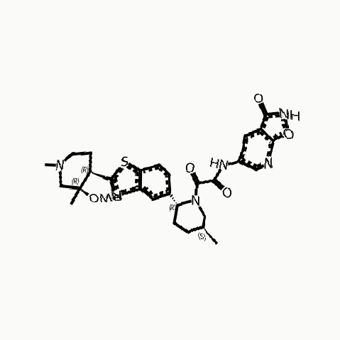 CO[C@@]1(C)CN(C)CC[C@H]1c1nc2cc([C@H]3CC[C@H](C)CN3C(=O)C(=O)Nc3cnc4o[nH]c(=O)c4c3)ccc2s1